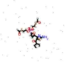 CCC(CC)C(=O)c1sc(N)nc1-c1ccc(P(=O)(OCCSC(C)=O)OCCSC(C)=O)o1